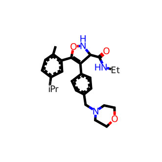 CCNC(=O)C1NOC(c2cc(C(C)C)ccc2C)=C1c1ccc(CN2CCOCC2)cc1